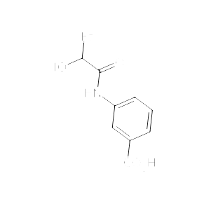 CCC(O)C(=O)Nc1cccc(C(=O)O)c1